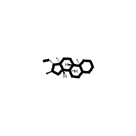 CC[C@H]1[C@H](C)C[C@H]2[C@@H]3CCC4CCCC[C@]4(C)[C@H]3CC[C@@]21C